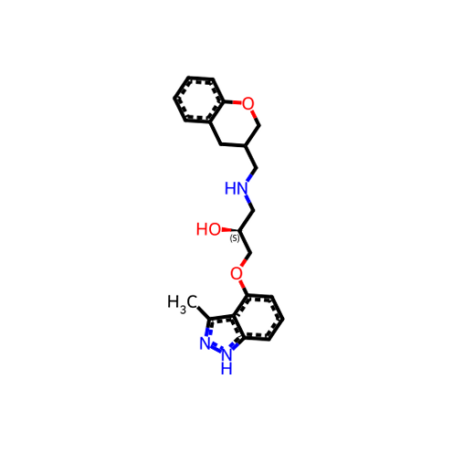 Cc1n[nH]c2cccc(OC[C@@H](O)CNCC3COc4ccccc4C3)c12